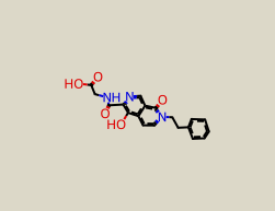 O=C(O)CNC(=O)c1ncc2c(=O)n(CCc3ccccc3)ccc2c1O